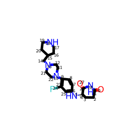 O=C1CC[C@H](Nc2ccc(N3CCN(CC4CCNCC4)CC3)c(F)c2)C(=O)N1